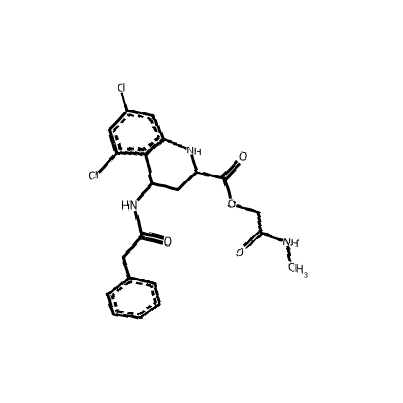 CNC(=O)COC(=O)C1CC(NC(=O)Cc2ccccc2)c2c(Cl)cc(Cl)cc2N1